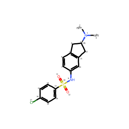 CCCN(CCC)[C@@H]1Cc2ccc(NS(=O)(=O)c3ccc(Cl)cc3)cc2C1